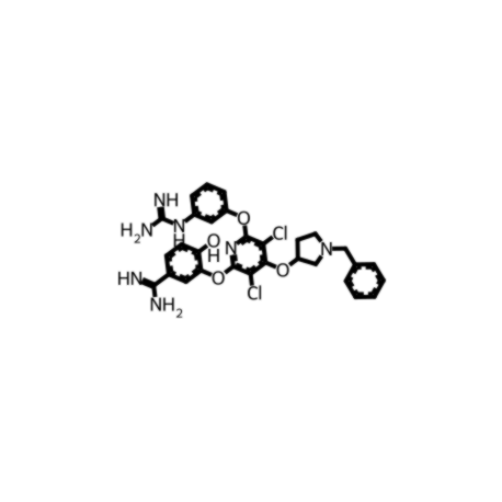 N=C(N)Nc1cccc(Oc2nc(Oc3cc(C(=N)N)ccc3O)c(Cl)c(OC3CCN(Cc4ccccc4)C3)c2Cl)c1